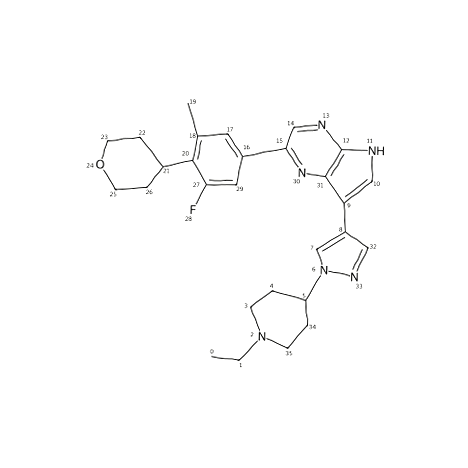 CCN1CCC(n2cc(-c3c[nH]c4ncc(-c5cc(C)c(C6CCOCC6)c(F)c5)nc34)cn2)CC1